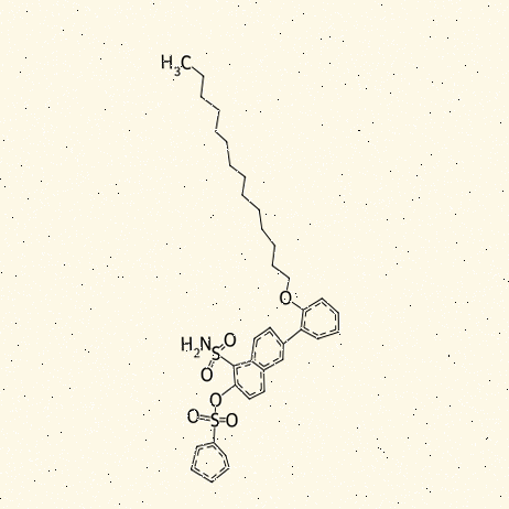 CCCCCCCCCCCCCCOc1ccccc1-c1ccc2c(S(N)(=O)=O)c(OS(=O)(=O)c3ccccc3)ccc2c1